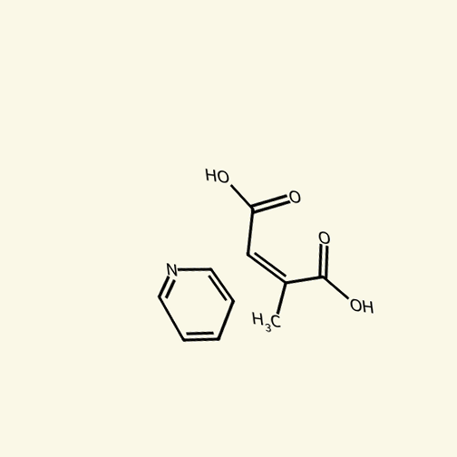 C/C(=C/C(=O)O)C(=O)O.c1ccncc1